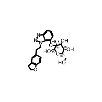 OC[C@@H]1O[C@@H](O)[C@](O)(Oc2cccc3nnn(CCc4ccc5c(c4)CCO5)c23)[C@H](O)[C@H]1O